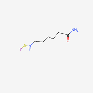 NC(=O)CCCCCNSI